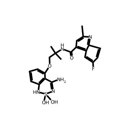 Cc1cc(C(=O)NC(C)(C)COc2cccc3c2C(N)=NS(O)(O)N3)c2cc(F)ccc2n1